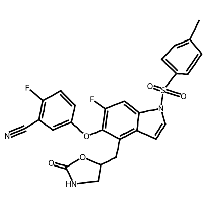 Cc1ccc(S(=O)(=O)n2ccc3c(CC4CNC(=O)O4)c(Oc4ccc(F)c(C#N)c4)c(F)cc32)cc1